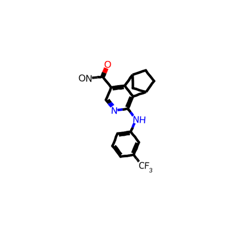 O=NC(=O)c1cnc(Nc2cccc(C(F)(F)F)c2)c2c1C1CCC2C1